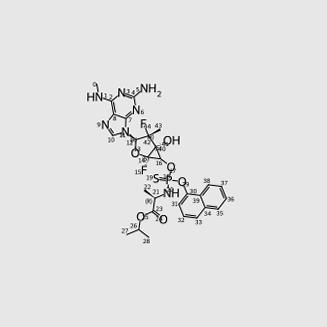 CNc1nc(N)nc2c1ncn2[C@@H]1O[C@]2(F)C(OP(=S)(N[C@H](C)C(=O)OC(C)C)Oc3cccc4ccccc34)[C@]2(O)[C@@]1(C)F